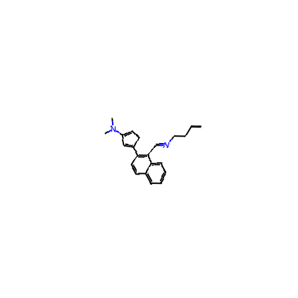 CCCC/N=C/c1c(C2=CC(N(C)C)=CC2)ccc2ccccc12